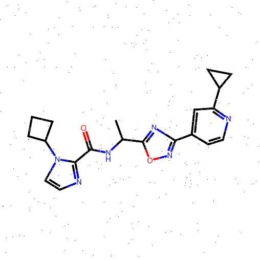 CC(NC(=O)c1nccn1C1CCC1)c1nc(-c2ccnc(C3CC3)c2)no1